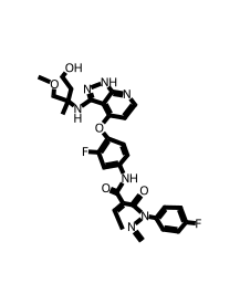 C=NN(C(=O)/C(=C\C)C(=O)Nc1ccc(Oc2ccnc3[nH]nc(NC(C)(CCO)COC)c23)c(F)c1)c1ccc(F)cc1